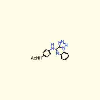 CC(=O)Nc1ccc(Nc2nc3ccccc3n3nnnc23)cc1